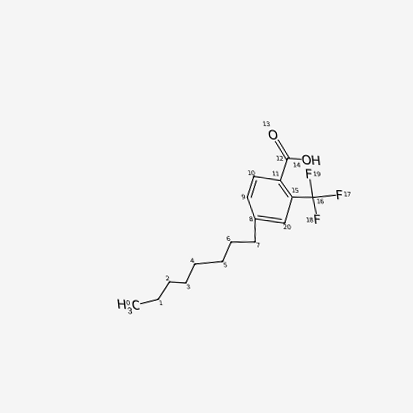 CCCCCCCCc1ccc(C(=O)O)c(C(F)(F)F)c1